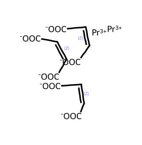 O=C([O-])/C=C\C(=O)[O-].O=C([O-])/C=C\C(=O)[O-].O=C([O-])/C=C\C(=O)[O-].[Pr+3].[Pr+3]